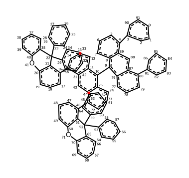 c1ccc(-c2cccc3c(-c4c5cccc(-c6cccc7c6C(c6ccccc6)(c6ccccc6)c6ccccc6O7)c5cc5c(-c6cccc7c6C(c6ccccc6)(c6ccccc6)c6ccccc6O7)cccc45)c4cccc(-c5ccccc5)c4cc23)cc1